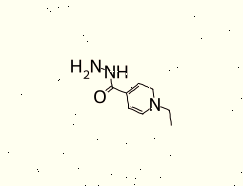 CCN1C=CC(C(=O)NN)=CC1